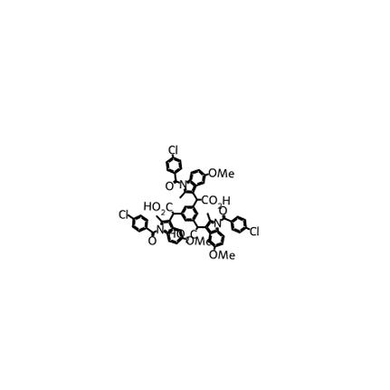 COc1ccc2c(c1)c(C(C(=O)O)c1cc(C(C(=O)O)c3c(C)n(C(=O)c4ccc(Cl)cc4)c4ccc(OC)cc34)cc(C(C(=O)O)c3c(C)n(C(=O)c4ccc(Cl)cc4)c4ccc(OC)cc34)c1)c(C)n2C(=O)c1ccc(Cl)cc1